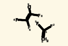 C=C(F)F.FC(F)=C(F)Cl